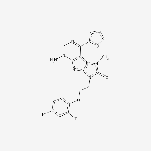 Cn1c(=O)n(CCNc2ccc(F)cc2F)c2nc3c(n21)C(c1ccco1)=NCN3N